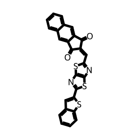 O=C1C(=Cc2nc3sc(-c4cc5ccccc5s4)nc3s2)C(=O)c2cc3ccccc3cc21